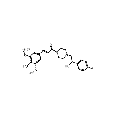 CCCCCCOc1cc(C=CC(=O)N2CCN(CC(O)c3ccc(F)cc3)CC2)cc(OCCCCCC)c1O